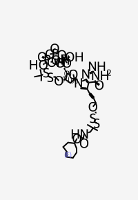 CC(C)(C)SSCO[C@@H]1C[C@H](n2cc(C#CCOCSSC(C)(C)CNC(=O)OC3CC/C=C/CCC3)c3c(=O)[nH]c(N)nc32)O[C@@H]1COP(=O)(O)OP(=O)(O)OP(=O)(O)O